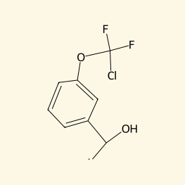 [CH2]C(O)c1cccc(OC(F)(F)Cl)c1